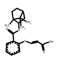 CC1(C)C2CCC1(C)C(OC(=O)c1ccccc1OC=CC(=O)O)C2